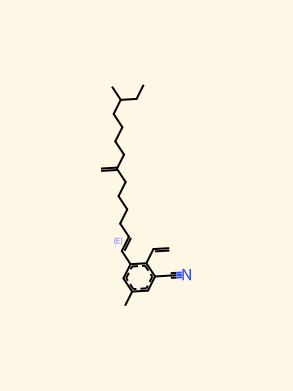 C=Cc1c(C#N)cc(C)cc1/C=C/CCCCC(=C)CCCCC(C)CC